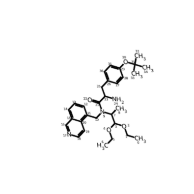 CCOC(OCC)C(C)N(Cc1cccc2cnccc12)C(=O)C(N)Cc1ccc(OC(C)(C)C)cc1